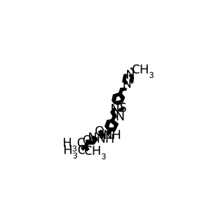 CCN1CCN(CCc2ccc3c(c2)sc2nc(-c4ccc(NC(=O)Nc5cc(C(C)(C)C)on5)cc4)cn23)CC1